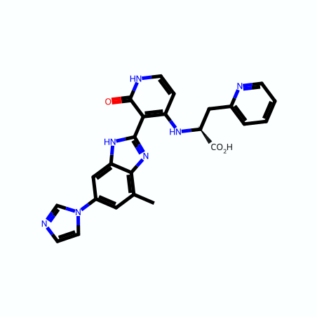 Cc1cc(-n2ccnc2)cc2[nH]c(-c3c(N[C@@H](Cc4ccccn4)C(=O)O)cc[nH]c3=O)nc12